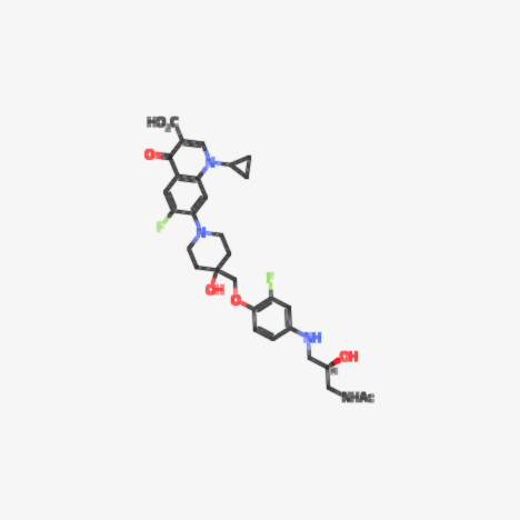 CC(=O)NC[C@H](O)CNc1ccc(OCC2(O)CCN(c3cc4c(cc3F)c(=O)c(C(=O)O)cn4C3CC3)CC2)c(F)c1